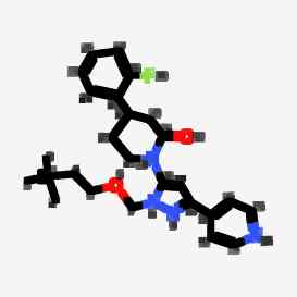 C[Si](C)(C)CCOCn1nc(-c2ccncc2)cc1N1CCC(c2ccccc2F)CC1=O